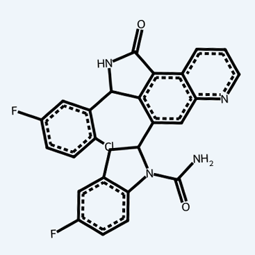 NC(=O)N1c2ccc(F)cc2CC1c1cc2ncccc2c2c1C(c1cc(F)ccc1Cl)NC2=O